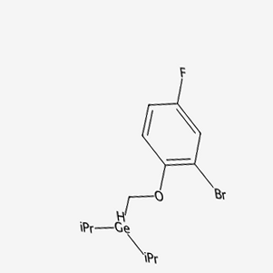 C[CH](C)[GeH]([CH2]Oc1ccc(F)cc1Br)[CH](C)C